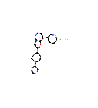 COc1ccc(-c2ccnc3cc(-c4ccc(-c5c[nH]cn5)cc4)oc23)cn1